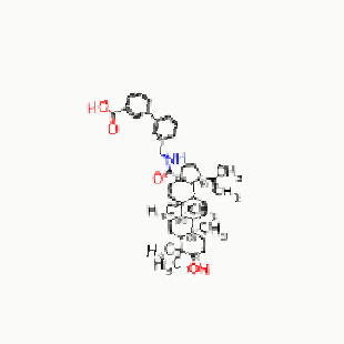 C=C(C)[C@@H]1CC[C@]2(C(=O)NCc3cccc(-c4cccc(C(=O)O)c4)c3)CC[C@]3(C)C(CCC4[C@@]5(C)CC[C@H](O)C(C)(C)C5CC[C@]43C)C12